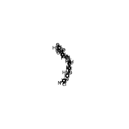 N#Cc1ccc(O[C@H]2CC[C@H](NC(=O)c3ccc(N4C[C@@H]5[C@@H](CN6CCN(c7cc8c(cc7F)C(=O)N(C7CCC(=O)NC7=O)C8=O)CC6)[C@@H]5C4)nn3)CC2)cc1Cl